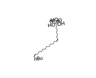 CCCC/C=C\CCCCCCCCCC/C=C\CCCCCCC(O)(C[N+](C)(C)C)P(=O)(O)O